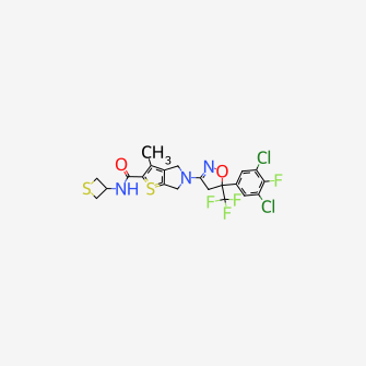 Cc1c(C(=O)NC2CSC2)sc2c1CN(C1=NOC(c3cc(Cl)c(F)c(Cl)c3)(C(F)(F)F)C1)C2